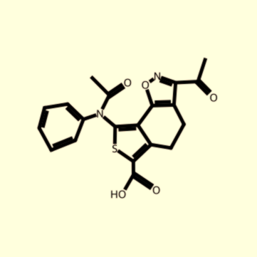 CC(=O)c1noc2c1CCc1c(C(=O)O)sc(N(C(C)=O)c3ccccc3)c1-2